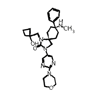 CN[C@]1(c2ccccc2)CC[C@@]2(CC1)CN(c1cnc(N3CCOCC3)nc1)C(=O)N2CC1(O)CCC1